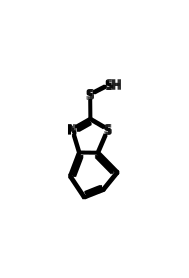 SSc1nc2ccccc2s1